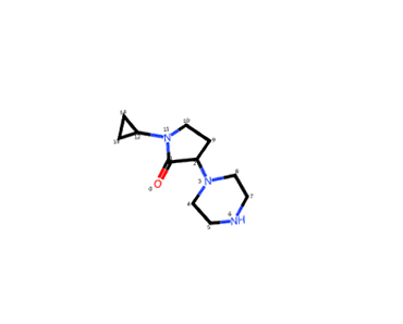 O=C1C(N2CCNCC2)CCN1C1CC1